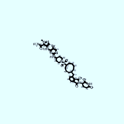 Cn1ncc(Nc2nc(NC3CCN(S(=O)(=O)C4CCCCC(Cc5cccc6c5C(=O)N(C5CCC(=O)NC5=O)C6=O)CCC4)CC3)ncc2Br)c1C(N)=O